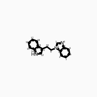 c1ccc2c(c1)ncn2CCc1c[nH]c2ccccc12